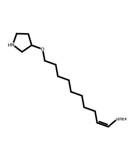 CCCCCC/C=C\CCCCCCCCOC1CCNC1